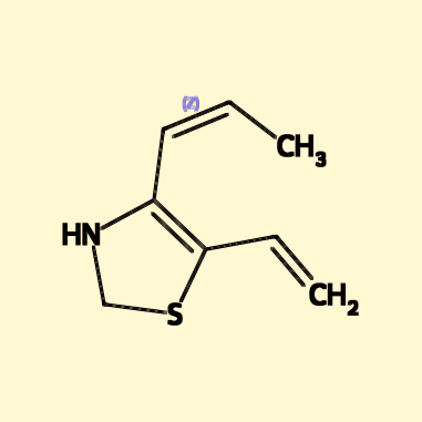 C=CC1=C(/C=C\C)NCS1